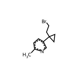 Cc1ccc(C2(CCBr)CC2)cn1